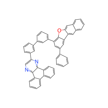 c1ccc(-c2cc(-c3cccc(-c4cccc(-c5cnc6c7ccccc7c7ccccc7c6n5)c4)c3)c3oc4cc5ccccc5cc4c3c2)cc1